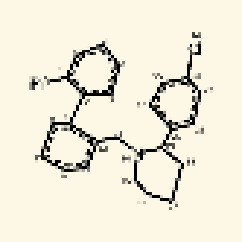 CC(C)c1ccccc1-c1ccccc1CN1CCCCC1c1ccc(Cl)cc1